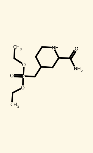 CCOP(=O)(CC1CCNC(C(N)=O)C1)OCC